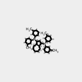 Cc1cccc(N(c2cccc(C)c2)c2cc(N(c3cccc(C)c3)c3cccc(C)c3)c3cccccc2-3)c1